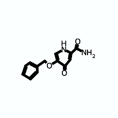 NC(=O)c1cc(=O)c(OCc2ccccc2)c[nH]1